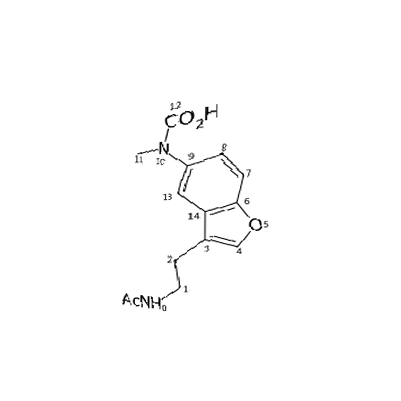 CC(=O)NCCc1coc2ccc(N(C)C(=O)O)cc12